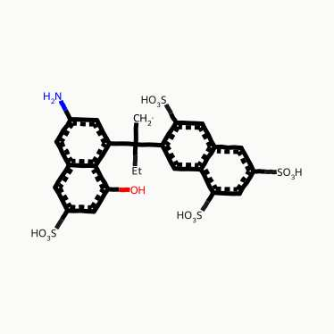 [CH2]C(CC)(c1cc2c(S(=O)(=O)O)cc(S(=O)(=O)O)cc2cc1S(=O)(=O)O)c1cc(N)cc2cc(S(=O)(=O)O)cc(O)c12